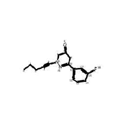 CCCC#CN1CC(=O)CC(c2cccc(F)c2)=N1